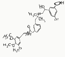 COc1cc(CNC(=O)Cc2cccc(CC(C)(C)NCC(O)c3cc(O)cc(O)c3)c2)cc(OC)c1OC